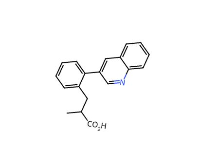 CC(Cc1ccccc1-c1cnc2ccccc2c1)C(=O)O